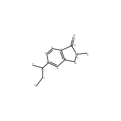 CCC(C)c1ccc2c(c1)CN(C)C2=O